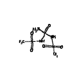 NP(=O)(NS(=O)(=O)C(F)(F)F)NS(=O)(=O)C(F)(F)F